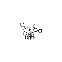 COc1ccc(-c2cc3c([nH]2)CCCC3)cc1NC(=S)Nc1cc(Cl)cc(Cl)c1